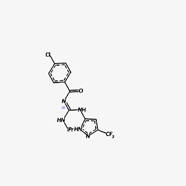 CC(C)N/C(=N/C(=O)c1ccc(Cl)cc1)Nc1cc(C(F)(F)F)n[nH]1